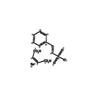 O=C(O)/C=C\C(=O)O.O=S(=O)([O-])C=Cc1ccccc1.[Na+]